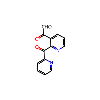 O=CC(=O)c1cccnc1C(=O)c1ccccn1